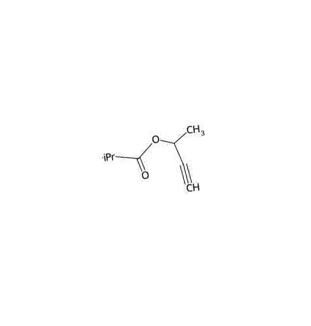 C#CC(C)OC(=O)[C](C)C